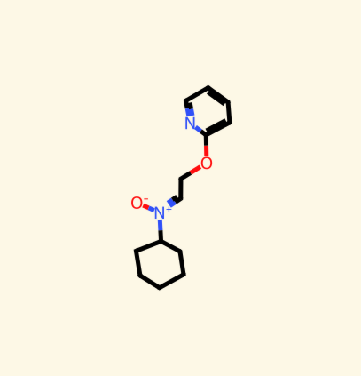 [O-][N+](=CCOc1ccccn1)C1CCCCC1